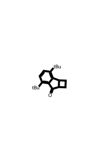 CC(C)(C)c1ccc(C(C)(C)C)c2c1C(=O)C1CCC21